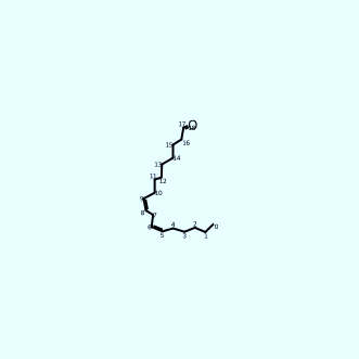 CCCCC/C=C\C/C=C\CCCCCCCC=O